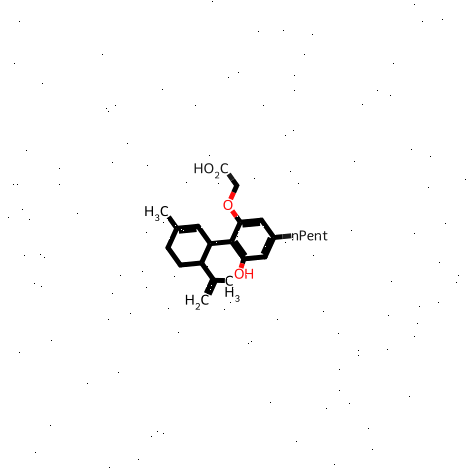 C=C(C)C1CCC(C)=CC1c1c(O)cc(CCCCC)cc1OCC(=O)O